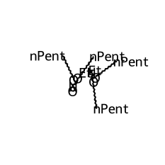 CCCCCC=CCC=CCCCCCCCCOCC(CCN(CC)CC)OCCCCCCCCC=CCC=CCCCCC.CCCCCC=CCC=CCCCCCCCCOCC(CCN1CCOCC1)OCCCCCCCCC=CCC=CCCCCC